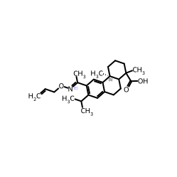 C=CCO/N=C(\C)c1cc2c(cc1C(C)C)CCC1C(C)(C(=O)O)CCC[C@]21C